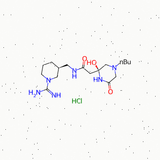 CCCCN1CC(=O)N[C@](O)(CC(=O)NC[C@@H]2CCCN(C(=N)N)C2)C1.Cl